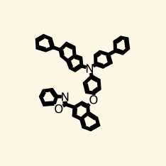 c1ccc(-c2ccc(N(c3ccc(Oc4cc(-c5nc6ccccc6o5)cc5ccccc45)cc3)c3ccc4cc(-c5ccccc5)ccc4c3)cc2)cc1